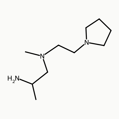 CC(N)CN(C)CCN1CCCC1